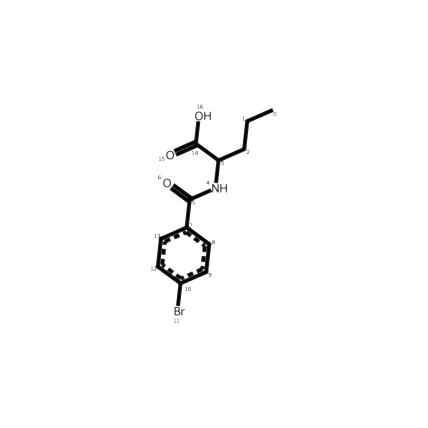 CCCC(NC(=O)c1ccc(Br)cc1)C(=O)O